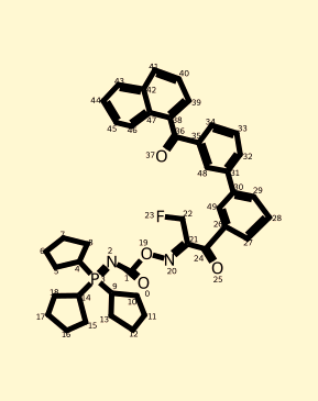 O=C(N=P(C1CCCC1)(C1CCCC1)C1CCCC1)O/N=C(\CF)C(=O)c1cccc(-c2cccc(C(=O)c3cccc4ccccc34)c2)c1